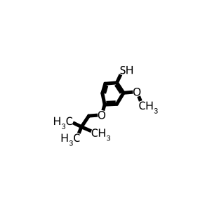 COc1cc(OCC(C)(C)C)ccc1S